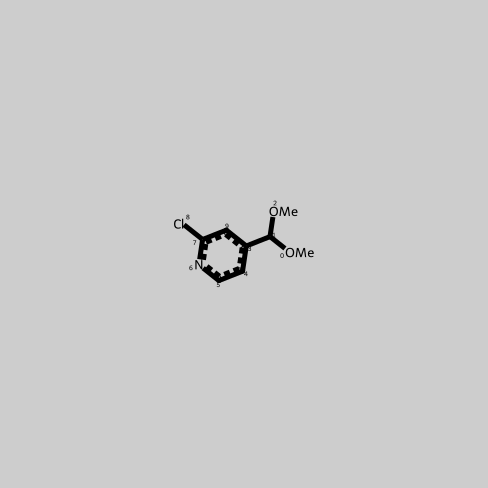 COC(OC)c1ccnc(Cl)c1